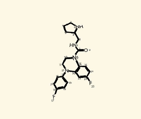 O=C(NCC1CCCN1)N1CCN(c2ccc(F)cc2)c2cc(F)ccc21